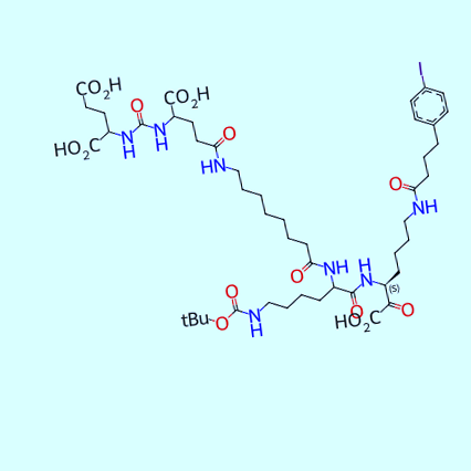 CC(C)(C)OC(=O)NCCCCC(NC(=O)CCCCCCCNC(=O)CCC(NC(=O)NC(CCC(=O)O)C(=O)O)C(=O)O)C(=O)N[C@@H](CCCCNC(=O)CCCc1ccc(I)cc1)C(=O)C(=O)O